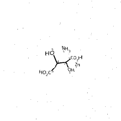 N.O=C(O)C(O)C(O)C(=O)O.[Zn]